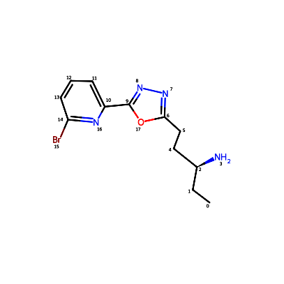 CC[C@H](N)CCc1nnc(-c2cccc(Br)n2)o1